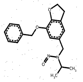 CC(C)N(Cc1cc2c(c(OCc3ccccc3)c1)OCC2)N=O